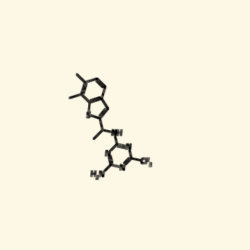 Cc1ccc2cc(C(C)Nc3nc(N)nc(C(F)(F)F)n3)sc2c1C